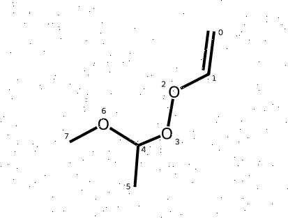 C=COOC(C)OC